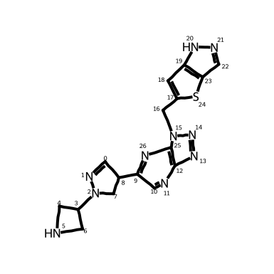 C1=NN(C2CNC2)CC1c1cnc2nnn(Cc3cc4[nH]ncc4s3)c2n1